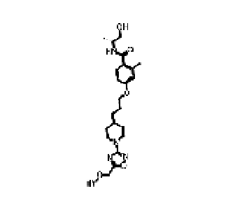 Cc1cc(OCCCC2CCN(c3noc(COC(C)C)n3)CC2)ccc1C(=O)N[C@H](C)CO